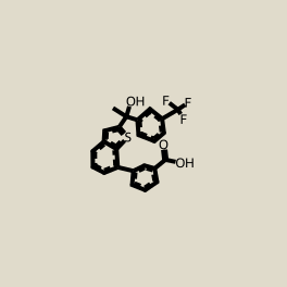 CC(O)(c1cccc(C(F)(F)F)c1)c1cc2cccc(-c3cccc(C(=O)O)c3)c2s1